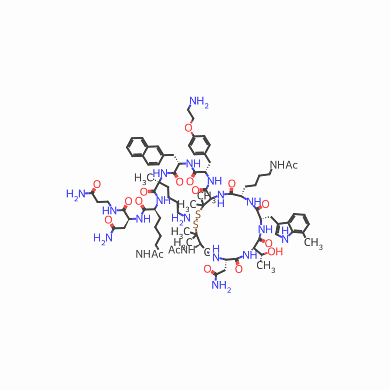 CC(=O)NCCCC[C@@H]1NC(=O)[C@H](Cc2c[nH]c3c(C)cccc23)NC(=O)[C@H]([C@@H](C)O)NC(=O)[C@H](CC(N)=O)NC[C@@H](NC(C)=O)C(C)(C)SSC(C)(C)[C@@H](C(=O)N[C@@H](Cc2ccc(OCCN)cc2)C(=O)N[C@@H](Cc2ccc3ccccc3c2)C(=O)N[C@@](C)(CCCCN)C(=O)N[C@@H](CCCCNC(C)=O)C(=O)N[C@@H](CC(N)=O)C(=O)NCCC(N)=O)NC1=O